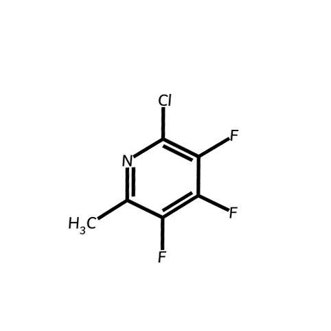 Cc1nc(Cl)c(F)c(F)c1F